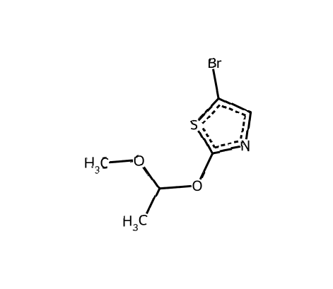 COC(C)Oc1ncc(Br)s1